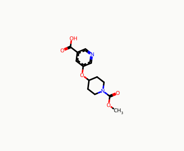 COC(=O)N1CCC(Oc2cncc(C(=O)O)c2)CC1